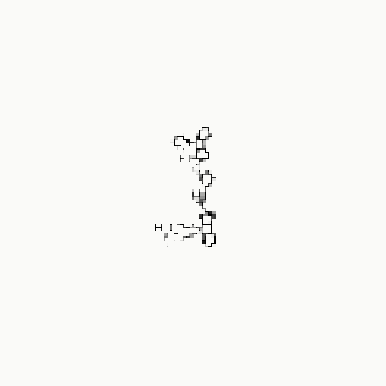 CCCCC1(CCCC)c2ccccc2-c2ccc(-c3cnn(-c4cccc(Oc5ccc6c7ccccc7n(-c7ccccn7)c6[c]5[Pt])c4)c3)cc21